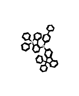 c1ccc(-c2ccc(N(c3ccc4c(c3)C(c3ccccc3)(c3ccccc3)c3ccccc3-4)c3cccc4c3-c3ccccc3[Si]4(c3ccccc3)c3ccccc3)cc2)cc1